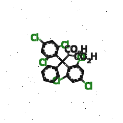 O=C(O)C(C(=O)O)C(c1ccccc1)(c1c(Cl)cc(Cl)cc1Cl)c1c(Cl)cc(Cl)cc1Cl